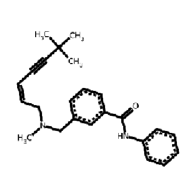 CN(C/C=C\C#CC(C)(C)C)Cc1cccc(C(=O)Nc2ccccc2)c1